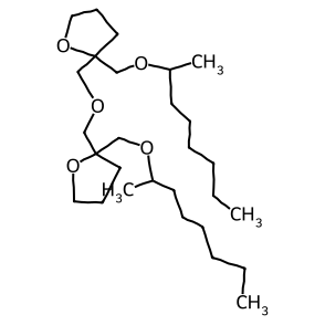 CCCCCCC(C)OCC1(COCC2(COC(C)CCCCCC)CCCO2)CCCO1